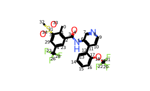 Cc1c(C(=O)Nc2cnccc2-c2ccccc2OC(F)(F)F)cc(C(F)(F)F)cc1S(C)(=O)=O